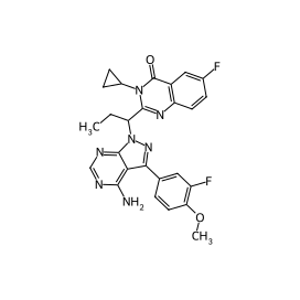 CCC(c1nc2ccc(F)cc2c(=O)n1C1CC1)n1nc(-c2ccc(OC)c(F)c2)c2c(N)ncnc21